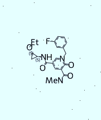 CCO[C@H]1C[C@@H]1NC(=O)c1cc(C(=O)NC)c(=O)n(Cc2cccc(F)c2)c1